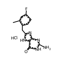 Cc1cc(F)ccc1Cc1nc2nc(N)[nH]c(=O)c2[nH]1.Cl